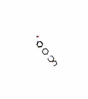 O=C(Nc1ccc([C@H]2CC[C@H](N3CCC4(CCCO4)CC3)CC2)c(F)c1)C(F)(F)F